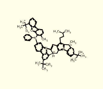 Cc1ccc2c(oc3c(C(C)(C)C)cccc32)c1N(c1ccccc1)c1ccc2c3cc(C(C)(C)C)cc4c3n(c2c1)C1=Cc2c(CCC(C)C)c3n(c2C[C@H]14)-c1ccc(C(C)(C)C)cc1[C@H]3C